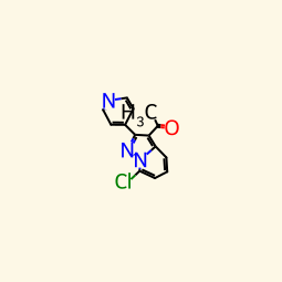 CC(=O)c1c(-c2ccncc2)nn2c(Cl)cccc12